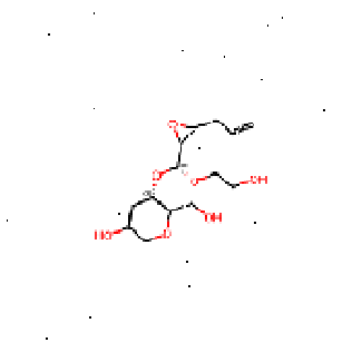 C=CCC1OC1[C@H](OCCO)O[C@H]1CC(O)COC1CO